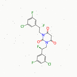 O=C1CC(=O)N(C[C@H](F)c2cc(F)cc(Cl)c2)C(=O)N1C[C@@H](F)c1cc(F)cc(Cl)c1